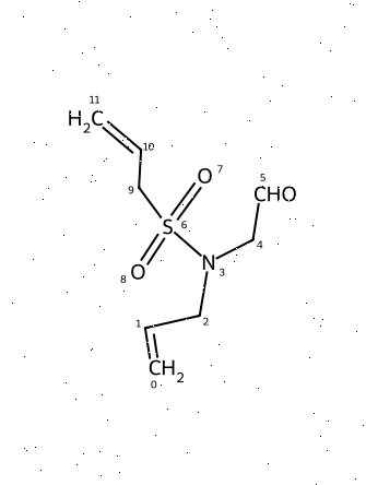 C=CCN(CC=O)S(=O)(=O)CC=C